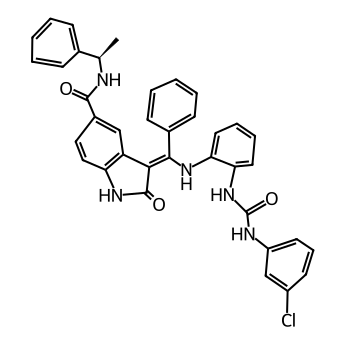 C[C@@H](NC(=O)c1ccc2c(c1)/C(=C(/Nc1ccccc1NC(=O)Nc1cccc(Cl)c1)c1ccccc1)C(=O)N2)c1ccccc1